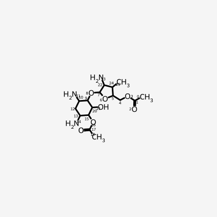 CC(=O)OCC1OC(OC2C(N)CC(N)C(OC(C)=O)C2O)C(N)C1C